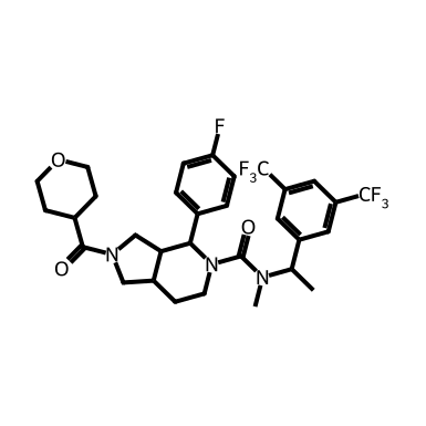 CC(c1cc(C(F)(F)F)cc(C(F)(F)F)c1)N(C)C(=O)N1CCC2CN(C(=O)C3CCOCC3)CC2C1c1ccc(F)cc1